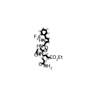 C#CC[C@H](NC(=O)c1ccc(-c2ccccc2C(F)(F)F)[nH]1)C(=O)N[C@H](/C=C/C(=O)OCC)CCC(N)=O